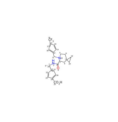 C[C@H](NC(=O)C1CC2(CCN1Cc1ccc(C(F)(F)F)cc1)CC2)c1ccc(C(=O)O)cc1